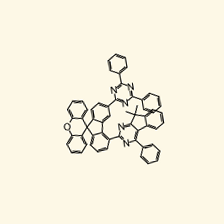 CC1(C)c2ccccc2-c2c(-c3ccccc3)nc(-c3cccc4c3-c3cc(-c5nc(-c6ccccc6)nc(-c6ccccc6)n5)ccc3C43c4ccccc4Oc4ccccc43)nc21